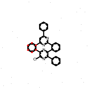 Clc1nc(-c2ccccc2)c(-c2ccccc2-c2nc(-c3ccccc3)cc(-c3ccccc3)n2)nc1-c1ccccc1